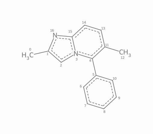 Cc1cn2c(-c3ccccc3)c(C)ccc2n1